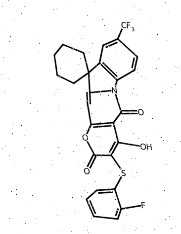 O=c1oc2cc3n(c(=O)c2c(O)c1Sc1ccccc1F)-c1ccc(C(F)(F)F)cc1C31CCCCC1